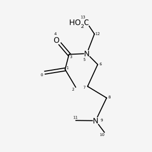 C=C(C)C(=O)N(CCCN(C)C)CC(=O)O